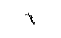 CCCC(O)c1ccc(-c2ccc(COC3CCC(c4ccc(OCC)c(F)c4)CC3)c(F)c2F)cc1